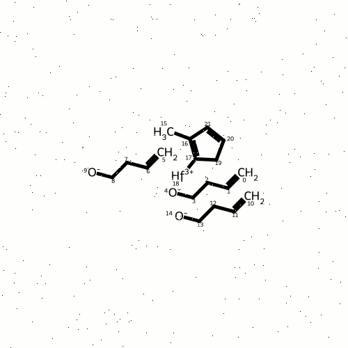 C=CCC[O-].C=CCC[O-].C=CCC[O-].CC1=[C]([Hf+3])CC=C1